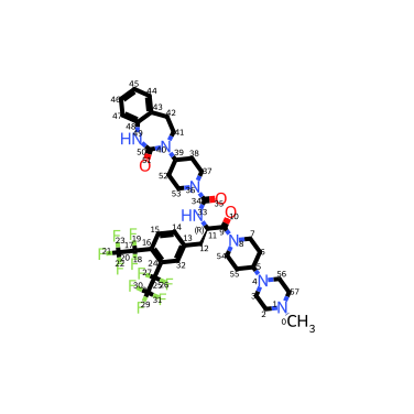 CN1CCN(C2CCN(C(=O)[C@@H](Cc3ccc(C(F)(F)C(F)(F)F)c(C(F)(F)C(F)(F)F)c3)NC(=O)N3CCC(N4CCc5ccccc5NC4=O)CC3)CC2)CC1